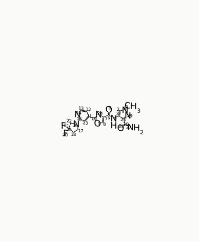 Cn1cc(NC(=O)c2coc(-c3ccnc(N4CCC(F)(F)C4)c3)n2)c(C(N)=O)n1